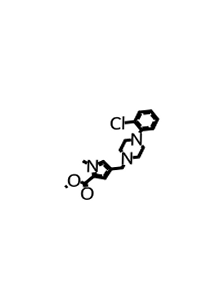 COC(=O)c1cc(CN2CCN(c3ccccc3Cl)CC2)cn1C